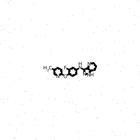 Cc1ccc(Oc2ccc(Nc3n[nH]c4cccnc34)cc2F)nc1